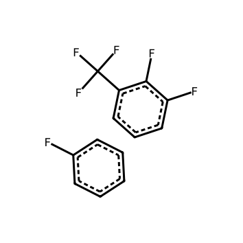 Fc1cccc(C(F)(F)F)c1F.Fc1ccccc1